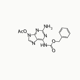 CC(=O)On1cnc2c(NC(=O)OCc3ccccc3)nc(N)nc21